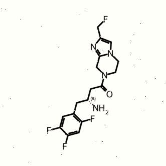 N[C@@H](CC(=O)N1CCn2cc(CF)nc2C1)Cc1cc(F)c(F)cc1F